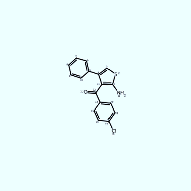 Nc1scc(-c2ccccc2)c1C(=O)c1ccc(Cl)cc1